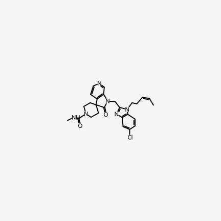 C/C=C\CCn1c(CN2C(=O)C3(CCN(C(=O)NC)CC3)c3ccncc32)nc2cc(Cl)ccc21